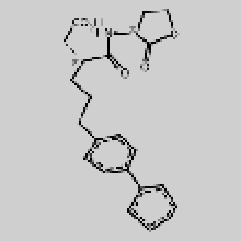 O=C(O)C[C@@H](CCCc1ccc(-c2ccccc2)cc1)C(=O)N[C@H]1CCOC1=O